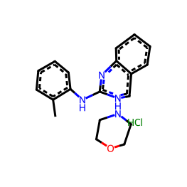 C1COCCN1.Cc1ccccc1Nc1ncc2ccccc2n1.Cl